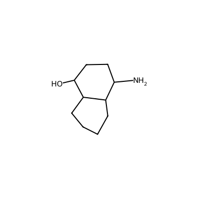 NC1CCC(O)C2CCCCC12